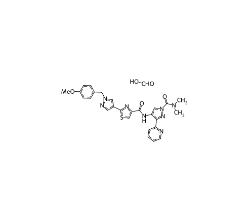 COc1ccc(Cn2cc(-c3nc(C(=O)Nc4cn(C(=O)N(C)C)nc4-c4ccccn4)cs3)cn2)cc1.O=CO